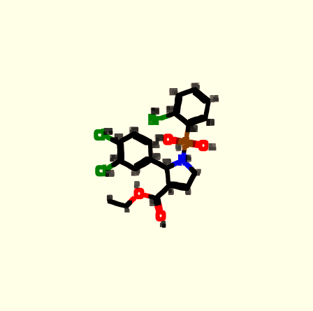 CCOC(=O)C1=CCN(S(=O)(=O)c2ccccc2Br)C1c1ccc(Cl)c(Cl)c1